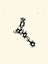 CS(=O)(=O)N1CCN(c2nc(-c3ccc(OCc4ccccc4)cc3)nc3[nH]ccc23)CC1